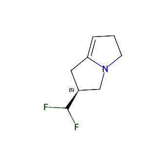 FC(F)[C@H]1CC2=CCCN2C1